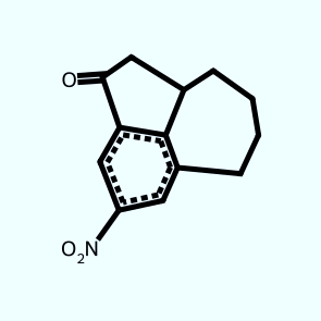 O=C1CC2CCCCc3cc([N+](=O)[O-])cc1c32